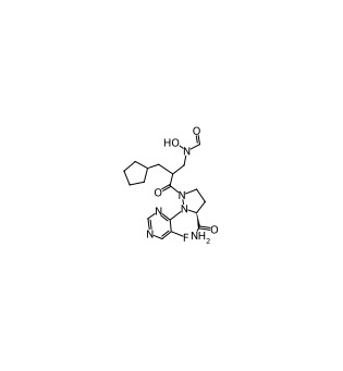 NC(=O)[C@@H]1CCN(C(=O)C(CC2CCCC2)CN(O)C=O)N1c1ncncc1F